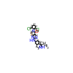 CC1(C)NCCc2cc(Nc3ncc4c(n3)SCN(c3c(Cl)cccc3Cl)C4=O)ccc21